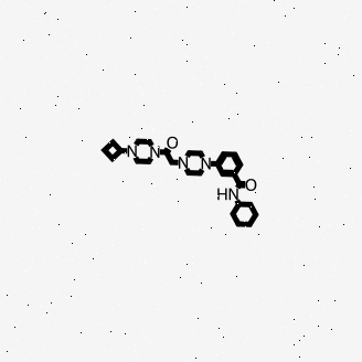 O=C(NC1CCCCC1)c1cccc(N2CCN(CC(=O)N3CCN(C4CCC4)CC3)CC2)c1